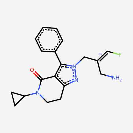 NC/C(=C\F)Cn1nc2c(c1-c1ccccc1)C(=O)N(C1CC1)CC2